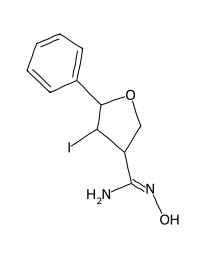 N/C(=N\O)C1COC(c2ccccc2)C1I